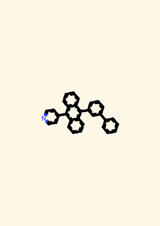 c1ccc(-c2cccc(-c3c4ccccc4c(-c4ccncc4)c4ccccc34)c2)cc1